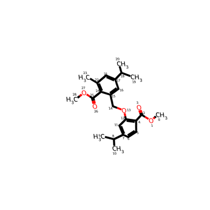 COC(=O)c1ccc(C(C)C)cc1OCc1cc(C(C)C)cc(C)c1C(=O)OC